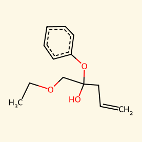 C=CCC(O)(COCC)Oc1ccccc1